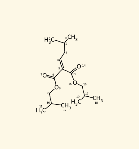 CC(C)CC=C(C(=O)OCC(C)C)C(=O)OCC(C)C